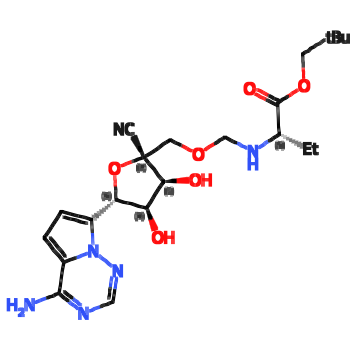 CC[C@H](NCOC[C@@]1(C#N)O[C@@H](c2ccc3c(N)ncnn23)[C@H](O)[C@@H]1O)C(=O)OCC(C)(C)C